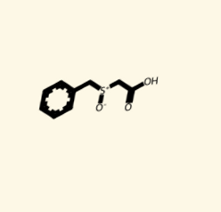 O=C(O)C[S+]([O-])Cc1ccccc1